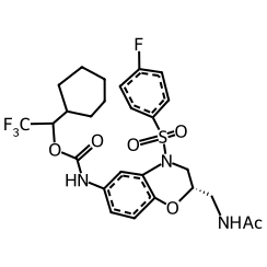 CC(=O)NC[C@H]1CN(S(=O)(=O)c2ccc(F)cc2)c2cc(NC(=O)OC(C3CCCCC3)C(F)(F)F)ccc2O1